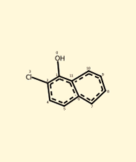 Oc1c(Cl)ccc2ccccc12